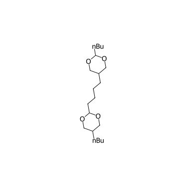 CCCCC1COC(CCCCC2COC(CCCC)OC2)OC1